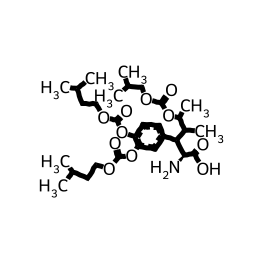 CC(C)CCOC(=O)Oc1ccc(C(C(C)C(C)OC(=O)OCC(C)C)[C@H](N)C(=O)O)cc1OC(=O)OCCC(C)C